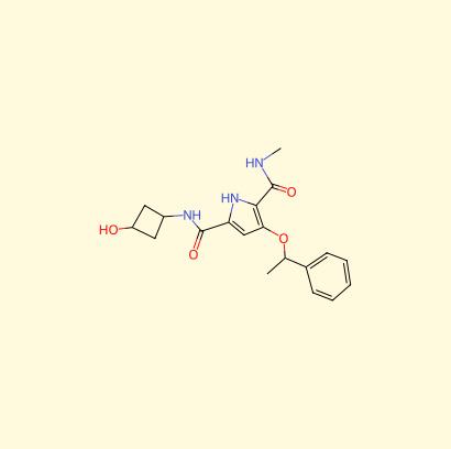 CNC(=O)c1[nH]c(C(=O)NC2CC(O)C2)cc1OC(C)c1ccccc1